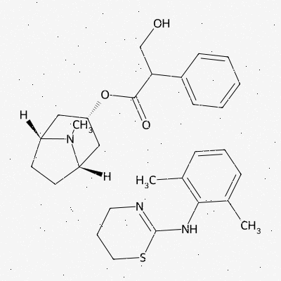 CN1[C@@H]2CC[C@H]1C[C@@H](OC(=O)C(CO)c1ccccc1)C2.Cc1cccc(C)c1NC1=NCCCS1